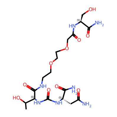 CC(O)[C@H](NC(=O)N[C@@H](CC(N)=O)C(N)=O)C(=O)NCCOCCOCC(=O)N[C@@H](CO)C(N)=O